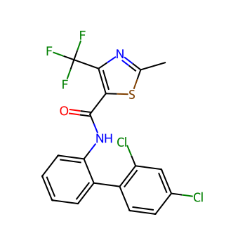 Cc1nc(C(F)(F)F)c(C(=O)Nc2ccccc2-c2ccc(Cl)cc2Cl)s1